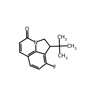 CC(C)(C)C1Cn2c(=O)ccc3ccc(F)c1c32